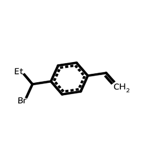 C=Cc1ccc(C(Br)CC)cc1